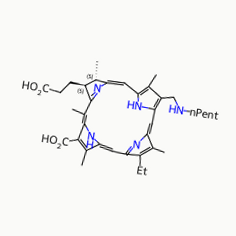 CCCCCNCc1c(C)c2cc3nc(c(C)c4[nH]c(cc5nc(cc1[nH]2)C(C)=C5CC)c(C)c4C(=O)O)[C@@H](CCC(=O)O)[C@@H]3C